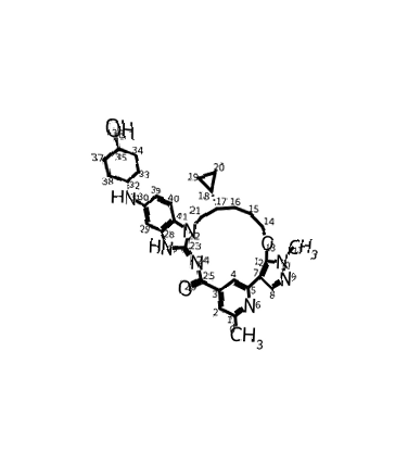 Cc1cc2cc(n1)-c1cnn(C)c1OCCC[C@@H](C1CC1)CN1/C(=N/C2=O)Nc2cc(N[C@H]3CC[C@H](O)CC3)ccc21